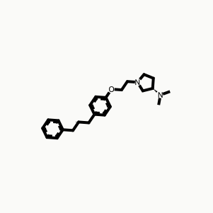 CN(C)[C@H]1CCN(CCOc2ccc(C[CH]Cc3ccccc3)cc2)C1